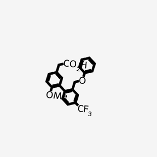 COc1ccc(CC(=O)O)cc1-c1ccc(C(F)(F)F)cc1COc1ccccc1